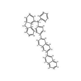 c1ccc(N(c2ccc(-c3ccc4cc(-c5ccc6ccccc6c5)ccc4c3)cc2)c2cccc3sc4ccccc4c23)cc1